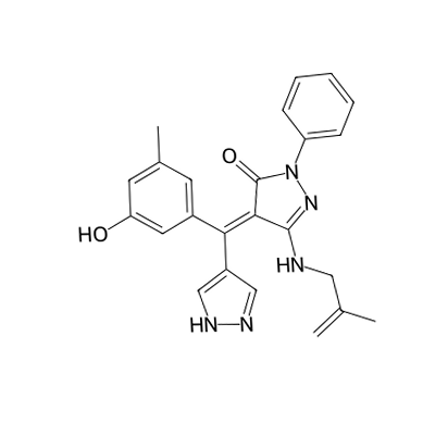 C=C(C)CNC1=NN(c2ccccc2)C(=O)/C1=C(/c1cn[nH]c1)c1cc(C)cc(O)c1